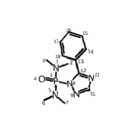 CN(C)P(=O)(N(C)C)n1ncnc1-c1ccccc1